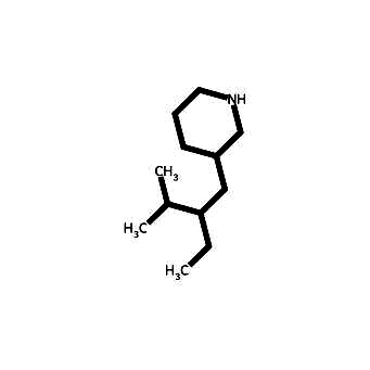 CCC(CC1CCCNC1)C(C)C